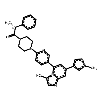 C[C@@H](C(=O)N1CCN(c2ccc(-c3cc(-c4cnn(C)c4)cc4ncc(C#N)n34)cn2)CC1)c1ccccc1